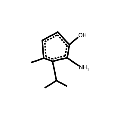 Cc1ccc(O)c(N)c1C(C)C